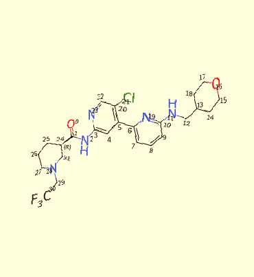 O=C(Nc1cc(-c2cccc(NCC3CCOCC3)n2)c(Cl)cn1)[C@@H]1CCCN(CC(F)(F)F)C1